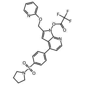 O=C(On1c(COc2ccccn2)cc2c(-c3ccc(S(=O)(=O)N4CCCC4)cc3)ccnc21)C(F)(F)F